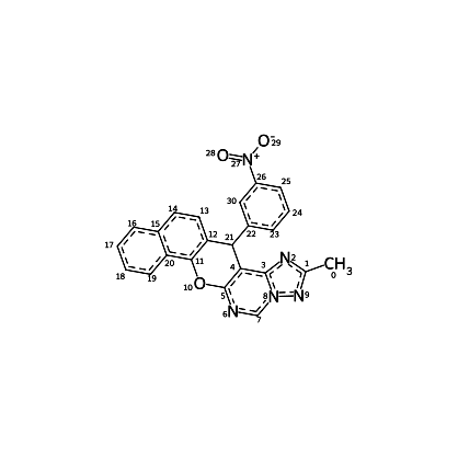 Cc1nc2c3c(ncn2n1)Oc1c(ccc2ccccc12)C3c1cccc([N+](=O)[O-])c1